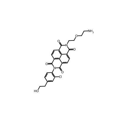 NCCOCCN1C(=O)c2ccc3c4c(ccc(c24)C1=O)C(=O)N(c1ccc(CCO)cc1Cl)C3=O